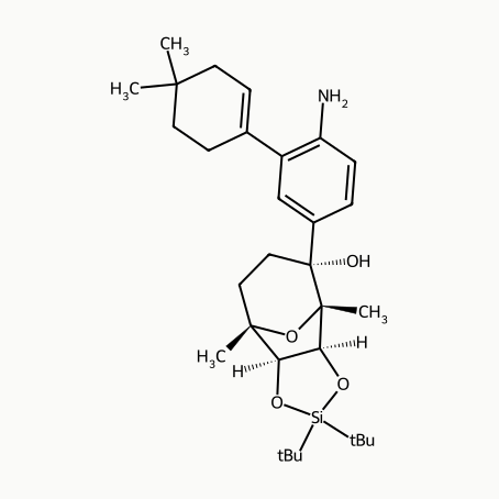 CC1(C)CC=C(c2cc([C@]3(O)CC[C@]4(C)O[C@@]3(C)[C@H]3O[Si](C(C)(C)C)(C(C)(C)C)O[C@H]34)ccc2N)CC1